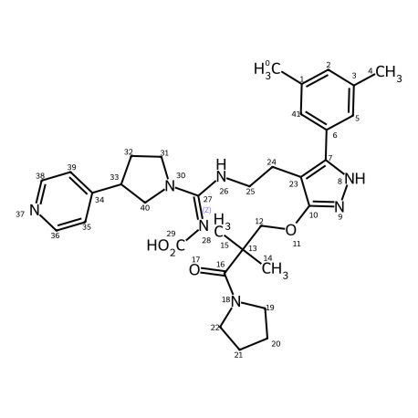 Cc1cc(C)cc(-c2[nH]nc(OCC(C)(C)C(=O)N3CCCC3)c2CCN/C(=N/C(=O)O)N2CCC(c3ccncc3)C2)c1